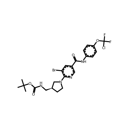 CC(C)(C)OC(=O)NC[C@@H]1CCN(c2ncc(C(=O)Nc3ccc(OC(F)(F)Cl)cc3)cc2Br)C1